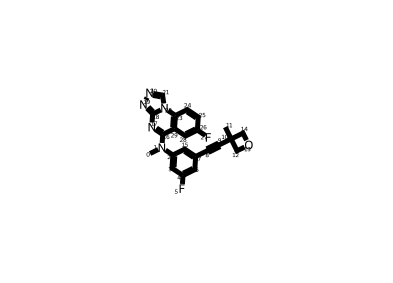 CN(c1cc(F)cc(C#CC2(C)COC2)c1)c1nc2nncn2c2ccc(F)cc12